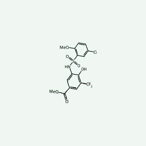 COC(=O)c1cc(NS(=O)(=O)c2cc(Cl)ccc2OC)c(O)c(C(F)(F)F)c1